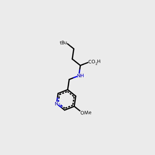 COc1cncc(CNC(CCC(C)(C)C)C(=O)O)c1